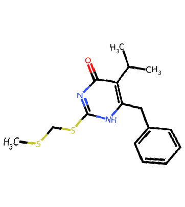 CSCSc1nc(=O)c(C(C)C)c(Cc2ccccc2)[nH]1